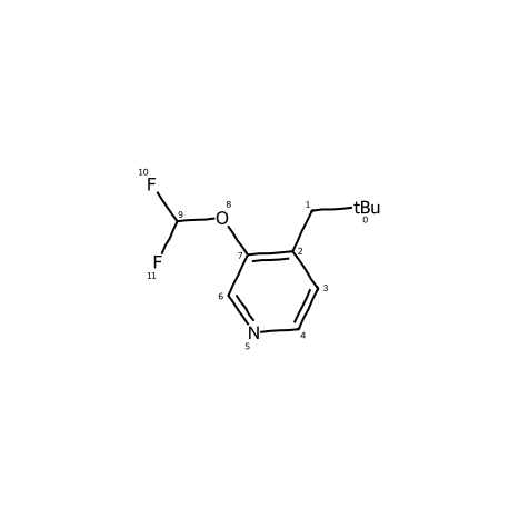 CC(C)(C)Cc1ccncc1OC(F)F